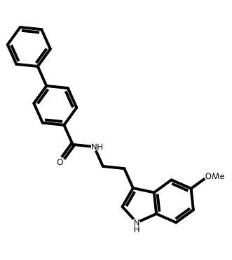 COc1ccc2[nH]cc(CCNC(=O)c3ccc(-c4ccccc4)cc3)c2c1